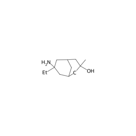 CCC1(N)CC2CC(CC(C)(O)C2)C1